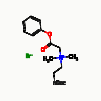 CCCCCCCCCCCC[N+](C)(C)CC(=O)Oc1ccccc1.[Br-]